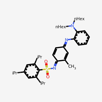 CCCCCCN(CCCCCC)c1ccccc1N=C1C=CC(=NS(=O)(=O)c2c(C(C)C)cc(C(C)C)cc2C(C)C)C(C)=C1